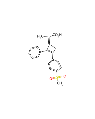 CC(C(=O)O)=C1CC(c2ccc(S(C)(=O)=O)cc2)=C1c1ccccc1